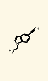 C#Cc1ccc2c(cnn2CC)c1